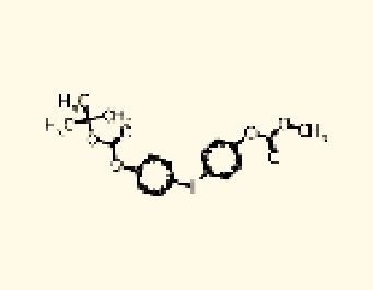 COC(=O)Oc1ccc([I+]c2ccc(OC(=O)OC(C)(C)C)cc2)cc1